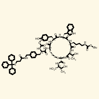 C[C@@H](O)[C@H](NC(=O)[C@@H]1CSSC[C@H](NC(=O)[C@@H](Cc2ccc(CNC(=O)CCSC(c3ccccc3)(c3ccccc3)c3ccccc3)cc2)NC(=O)OC(C)(C)C)C(=O)N[C@@H](Cc2ccc(O)cc2)C(=O)N[C@H](Cc2c[nH]c3ccccc23)C(=O)N[C@@H](CCCCNC(=O)OC(C)(C)C)C(=O)N[C@@H]([C@@H](C)O)C(=O)N1)C(=O)O